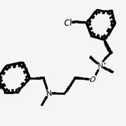 CN(CCO[N+](C)(C)Cc1cccc(Cl)c1)Cc1ccccc1